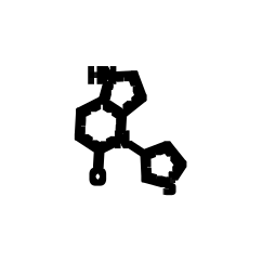 O=c1ccc2[nH]ccc2n1-c1ccsc1